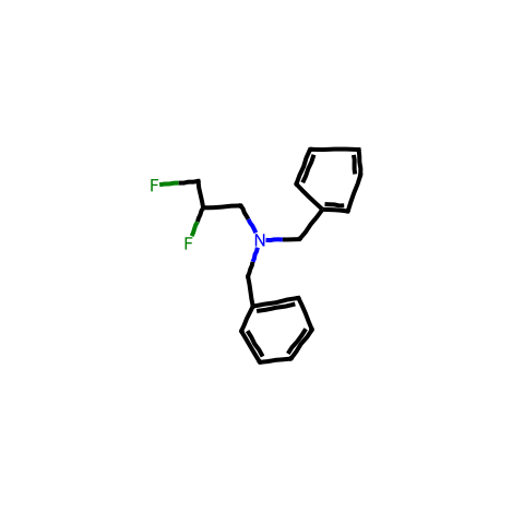 FCC(F)CN(Cc1ccccc1)Cc1ccccc1